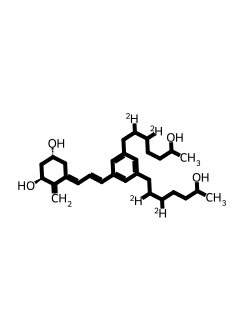 [2H]C(CCC(C)O)C([2H])Cc1cc(/C=C/C=C2C[C@@H](O)C[C@H](O)C2=C)cc(CC([2H])C([2H])CCC(C)O)c1